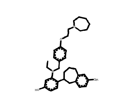 CCN(Cc1ccc(OCCN2CCCCCC2)cc1)c1cc(O)ccc1C1CCCc2cc(O)ccc2C1